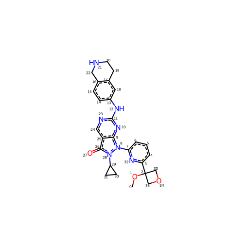 COC1(c2cccc(-n3c4nc(Nc5ccc6c(c5)CCNC6)ncc4c(=O)n3C3CC3)n2)COC1